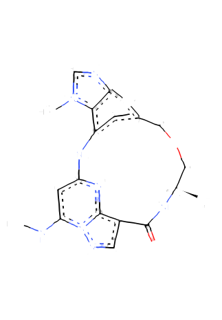 CNc1cc2nc3c(cnn13)C(=O)N[C@H](C)COCc1cc(c3c(c1)ncn3C)N2